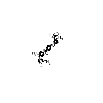 Cc1cc(NC(=O)C2CCC(COc3cccc(CC(C)(C)O)c3)CC2)ccc1CN1CCNC(C)C1